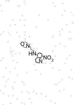 O=[N+]([O-])c1ccc(NCCCN2CCOCC2)c2cccnc12